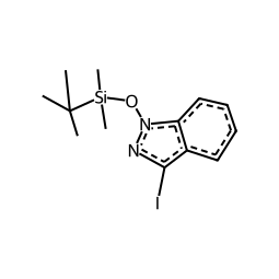 CC(C)(C)[Si](C)(C)On1nc(I)c2ccccc21